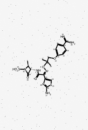 C[C@H]1[C@H](NC(=O)/C(=N\OC(C)(C)COc2ccc(C(=N)N)cc2)c2csc(N)n2)C(=O)N1S(=O)(=O)O